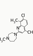 Cc1cc(N2CCCN(C)CC2)nc2c(C)c(Cl)ccc12